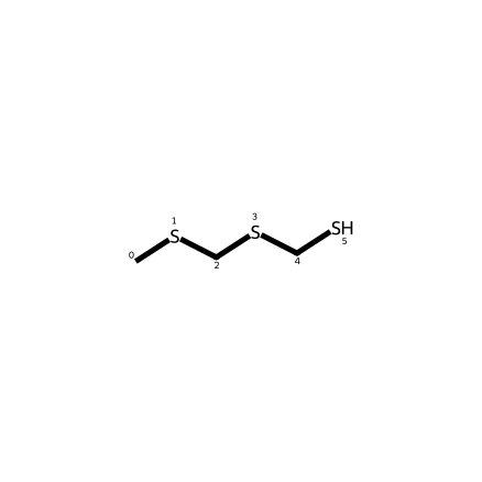 CSCSCS